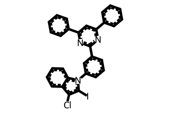 Clc1c(I)n(-c2cccc(-c3nc(-c4ccccc4)cc(-c4ccccc4)n3)c2)c2ccccc12